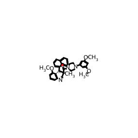 COc1cc(OC)cc(N2CCN(C(=O)[C@](C)(C#N)[C@H](c3ccccc3OC)c3cccc4ccccc34)CC2)c1